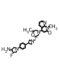 C[C@@H]1CN(c2cc(=O)n(C)c3ncccc23)C[C@H](CN2CC(c3ccc(N4CC(F)[C@H](N)C4)cc3)C2)O1